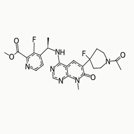 COC(=O)c1nccc([C@@H](C)Nc2ncnc3c2cc(C2(F)CCN(C(C)=O)CC2)c(=O)n3C)c1F